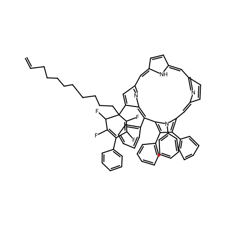 C=CCCCCCCCCCC1(C2=Cc3cc4ccc(cc5nc(cc6c(-c7ccccc7)c(-c7ccccc7)c(c(-c7ccccc7)c2n3)n6-c2ccccc2)C=C5)[nH]4)C(F)=C(F)C(c2ccccc2)=C(F)C1F